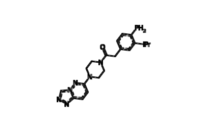 CC(C)c1cc(CC(=O)N2CCN(c3ccc4nncn4n3)CC2)ccc1P